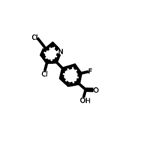 O=C(O)c1ccc(-c2ncc(Cl)cc2Cl)cc1F